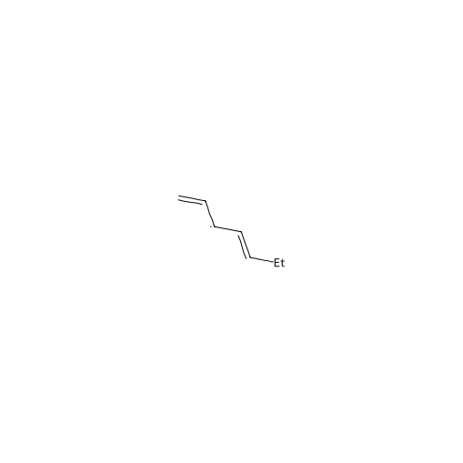 C=C[CH]C=CCC